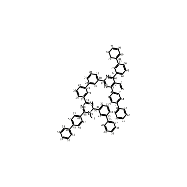 C=Cc1c(-c2ccc(-c3ccccc3)cc2)nc(-c2cccc(-c3cccc(C4=NC(c5cccc(-c6ccccc6)c5)N(C)C(c5ccc(-c6ccccc6)cc5)=N4)c3)c2)nc1-c1cccc(C2=CC=CCC2)c1